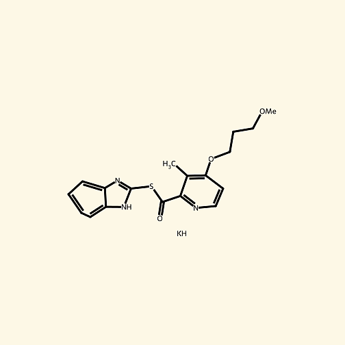 COCCCOc1ccnc(C(=O)Sc2nc3ccccc3[nH]2)c1C.[KH]